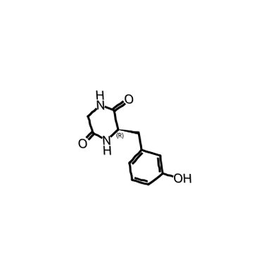 O=C1CNC(=O)[C@@H](Cc2cccc(O)c2)N1